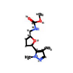 Cn1ncc([N+](=O)[O-])c1[C@H]1CC[C@H](CNC(=O)OC(C)(C)C)O1